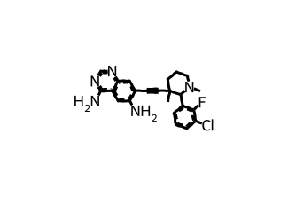 CN1CCCC(C)(C#Cc2cc3ncnc(N)c3cc2N)C1c1cccc(Cl)c1F